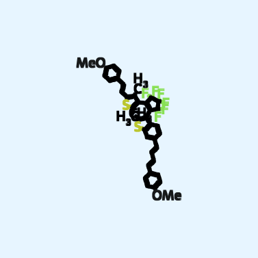 COc1ccc(C=CC=Cc2ccc3c(C4=C(c5c(C)sc(C=Cc6ccc(OC)cc6)c5C)C(F)(F)C(F)(F)C4(F)F)c(C)sc3c2)cc1